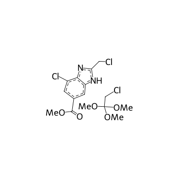 COC(=O)c1cc(Cl)c2nc(CCl)[nH]c2c1.COC(CCl)(OC)OC